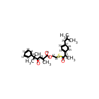 C/C(=C\C(=O)C(C)(C)c1ccccc1)C(=O)OCCSC(=O)C(C)c1ccc(CC(C)C)cc1